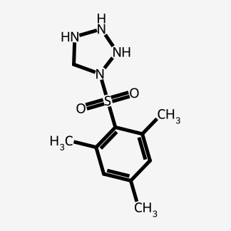 Cc1cc(C)c(S(=O)(=O)N2CNNN2)c(C)c1